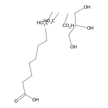 CC(=O)O.CC(=O)O.CC(=O)O.CCCCCCCC(=O)O.OCC(O)CO